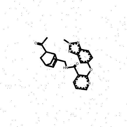 CC(=O)C1CC2C=CC1C(CNC(=O)c1cccnc1Oc1ccc3nn(C)nc3c1)C2